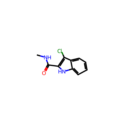 CNC(=O)c1[nH]c2ccccc2c1Cl